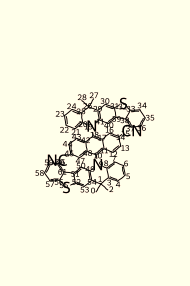 CC1(C)c2ccccc2N(c2c3ccc(C#N)cc3c(N3c4ccccc4C(C)(C)c4cc5sc6ccccc6c5cc43)c3ccc(C#N)cc23)c2cc3c(cc21)sc1ccccc13